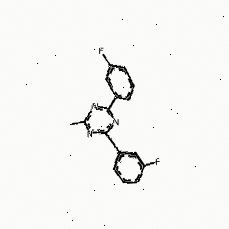 Cc1nc(-c2cccc(F)c2)nc(-c2cccc(F)c2)n1